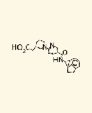 O=C(O)CC1CCCN(c2ccc(C(=O)NC3C4CC5CC6CCC43C6C5)cn2)C1